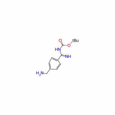 CC(C)(C)OC(=O)NC(=N)c1ccc(CN)cc1